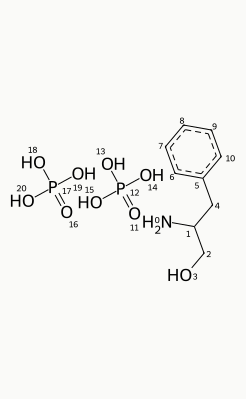 NC(CO)Cc1ccccc1.O=P(O)(O)O.O=P(O)(O)O